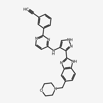 C#Cc1cccc(-c2nccc(Nc3c[nH]nc3-c3nc4cc(CN5CCOCC5)ccc4[nH]3)n2)c1